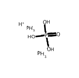 O=P(O)(O)O.P.P.[H+]